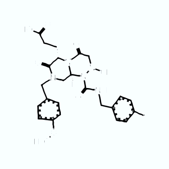 COc1ccc(CN2C[C@H]3N(C(=O)CN(C)N3C(=O)NCc3ccc(F)cc3)[C@@H](CCC(=O)O)C2=O)cc1